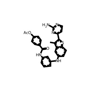 CC(=O)Oc1ccc(C(=O)Nc2cccc(Nc3ccc4sc(-c5ccnc(N)n5)c(C)c4c3)c2)cc1